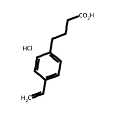 C=Cc1ccc(CCCC(=O)O)cc1.Cl